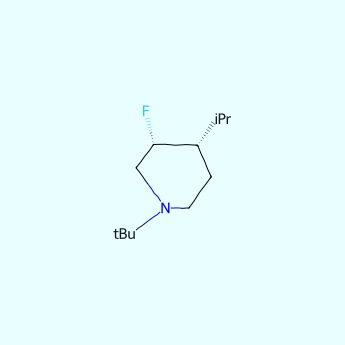 CC(C)[C@@H]1CCN(C(C)(C)C)C[C@@H]1F